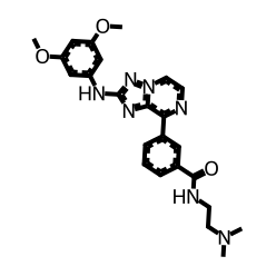 COc1cc(Nc2nc3c(-c4cccc(C(=O)NCCN(C)C)c4)nccn3n2)cc(OC)c1